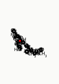 COc1c(N2CCOCC2)ncc2c1CCC[C@@H]2N1CCN(C2CC3(CCN(c4ccc(C(=O)NS(=O)(=O)c5ccc(NCC6CCOCC6)c([N+](=O)[O-])c5)c(N5c6cc7cc[nH]c7nc6O[C@H]6COCC[C@@H]65)c4)CC3)C2)[C@H](c2ccccc2C)C1